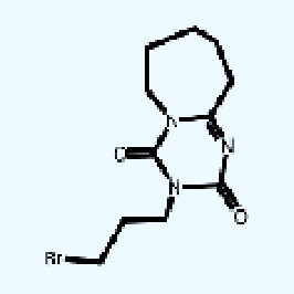 O=c1nc2n(c(=O)n1CCCBr)CCCCC2